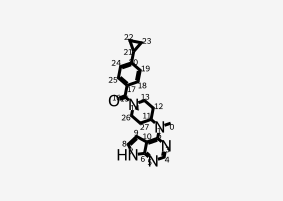 CN(c1ncnc2[nH]ccc12)C1CCN(C(=O)c2ccc(C3CC3)cc2)CC1